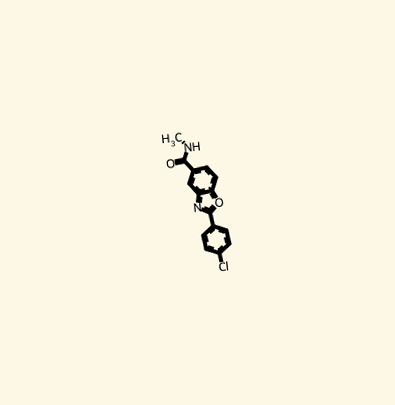 CNC(=O)c1ccc2oc(-c3ccc(Cl)cc3)nc2c1